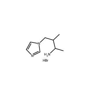 Br.CC(N)C(C)Cn1ccnc1